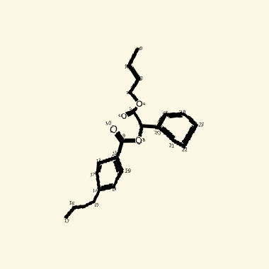 CCCCOC(=O)C(OC(=O)c1ccc(CCC)cc1)c1ccccc1